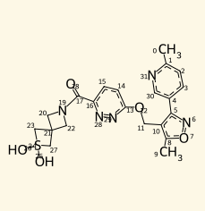 Cc1ccc(-c2noc(C)c2COc2ccc(C(=O)N3CC4(C3)CS(O)(O)C4)nn2)cn1